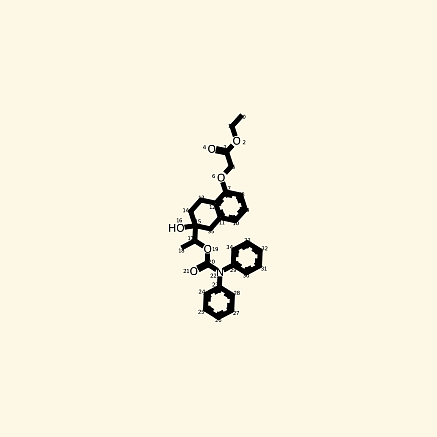 CCOC(=O)COc1cccc2c1CCC(O)(C(C)OC(=O)N(c1ccccc1)c1ccccc1)C2